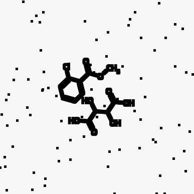 COC(=O)c1ccccc1Cl.O=C(O)C(O)C(O)C(=O)O